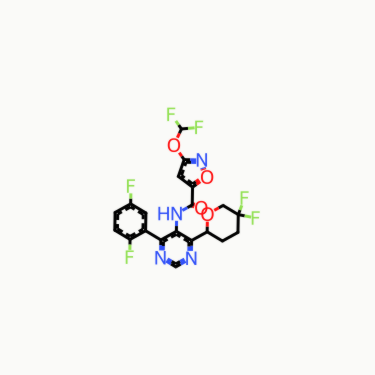 O=C(Nc1c(-c2cc(F)ccc2F)ncnc1C1CCC(F)(F)CO1)c1cc(OC(F)F)no1